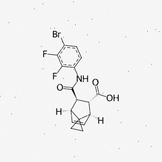 O=C(O)[C@H]1[C@H](C(=O)Nc2ccc(Br)c(F)c2F)[C@@H]2C=C[C@H]1C21CC1